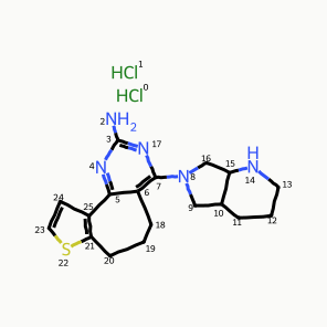 Cl.Cl.Nc1nc2c(c(N3CC4CCCNC4C3)n1)CCCc1sccc1-2